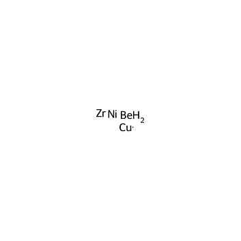 [BeH2].[Cu].[Ni].[Zr]